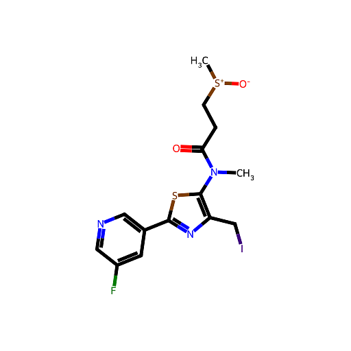 CN(C(=O)CC[S+](C)[O-])c1sc(-c2cncc(F)c2)nc1CI